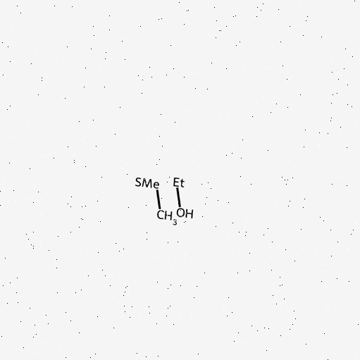 CCO.CSC